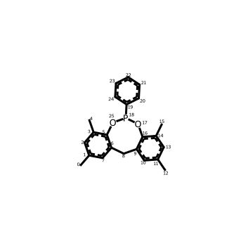 Cc1cc(C)c2c(c1)Cc1cc(C)cc(C)c1OP(c1ccccc1)O2